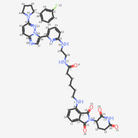 O=C(CCCCCNc1cccc2c1C(=O)N(C1CCC(=O)NC1=O)C2=O)NCCNc1cccc(-c2cnc3ccc(N4CCC[C@@H]4c4cccc(F)c4)nn23)n1